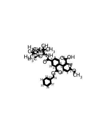 COc1ccc(-c2ccc(C(=O)N[C@@H](O[Si](C)(C)C(C)(C)C)C(C)(C)C)cc2C(=O)OCc2ccccc2)c(C(=O)O)n1